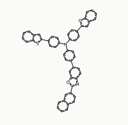 c1ccc2cc(-c3nc4ccc(-c5ccc(N(c6ccc(-c7cc8ccccc8o7)cc6)c6ccc(-c7cc8ccccc8s7)cc6)cc5)cc4o3)ccc2c1